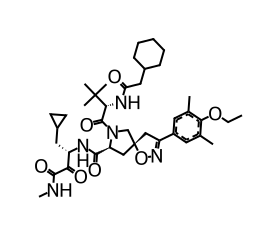 CCOc1c(C)cc(C2=NO[C@]3(C2)C[C@@H](C(=O)N[C@@H](CC2CC2)C(=O)C(=O)NC)N(C(=O)[C@@H](NC(=O)CC2CCCCC2)C(C)(C)C)C3)cc1C